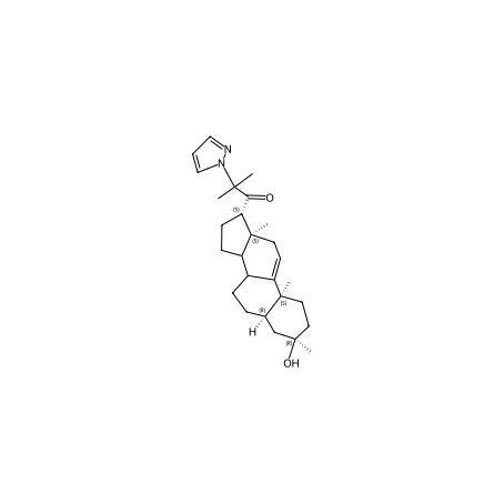 CC(C)(C(=O)[C@H]1CCC2C3CC[C@@H]4C[C@](C)(O)CC[C@]4(C)C3=CC[C@@]21C)n1cccn1